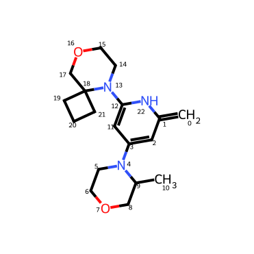 C=C1C=C(N2CCOCC2C)C=C(N2CCOCC23CCC3)N1